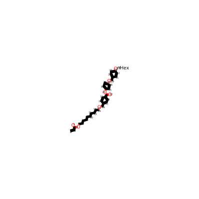 C=CC(=O)OCCCCCCCCCCOCc1ccc(C(=O)Oc2ccc(OCc3ccc(OCCCCCC)cc3)cc2)cc1